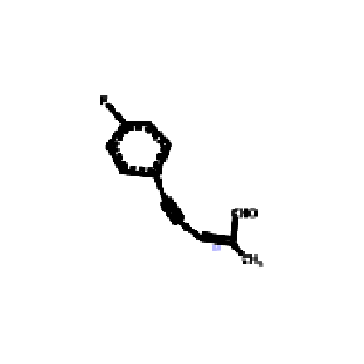 C/C(C=O)=C/C#Cc1ccc(F)cc1